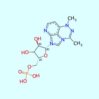 CC1=NN(C)c2ccnc3c2[n+]1cn3[C@@H]1O[C@H](COP(=O)(O)O)C(O)[C@H]1O